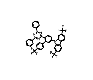 FC(F)(F)c1ccc(-c2cc(-n3c4cc(C(F)(F)F)ccc4c4ccc(C(F)(F)F)cc43)ccc2-c2nc(-c3ccccc3)nc(-c3ccccc3)n2)cc1